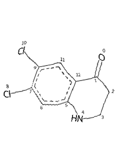 O=C1CCNc2cc(Cl)c(Cl)cc21